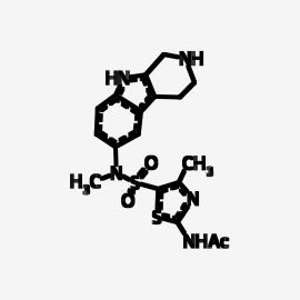 CC(=O)Nc1nc(C)c(S(=O)(=O)N(C)c2ccc3[nH]c4c(c3c2)CCNC4)s1